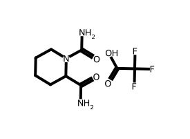 NC(=O)C1CCCCN1C(N)=O.O=C(O)C(F)(F)F